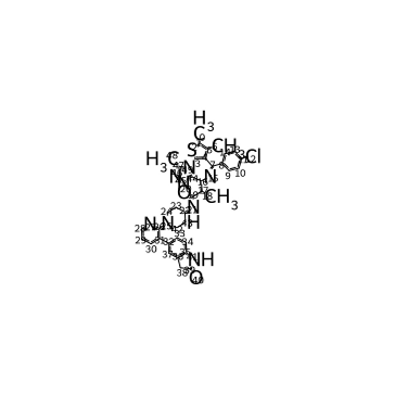 Cc1sc2c(c1C)C(c1ccc(Cl)cc1)=N[C@@H](C(C)C(=O)NC1CCN(c3ncccc3-c3ccc4c(c3)CC(=O)N4)CC1)c1nnc(C)n1-2